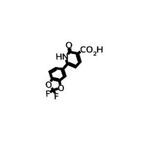 O=C(O)c1ccc(-c2ccc3c(c2)OC(F)(F)O3)[nH]c1=O